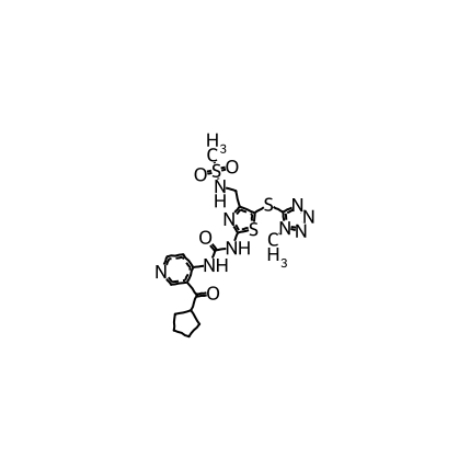 Cn1nnnc1Sc1sc(NC(=O)Nc2ccncc2C(=O)C2CCCC2)nc1CNS(C)(=O)=O